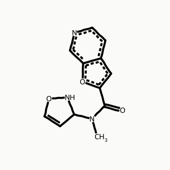 CN(C(=O)c1cc2ccncc2o1)C1C=CON1